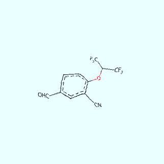 N#Cc1cc(C=O)ccc1OC(C(F)(F)F)C(F)(F)F